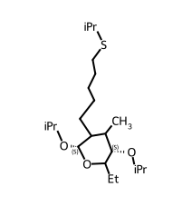 CCC1O[C@H](OC(C)C)C(CCCCCSC(C)C)C(C)[C@@H]1OC(C)C